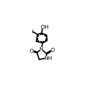 O=C1CNC(=O)N1c1ccc(O)c(I)c1